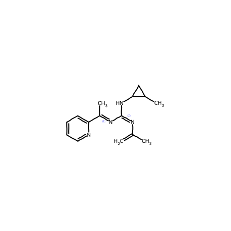 C=C(C)/N=C(\N=C(/C)c1ccccn1)NC1CC1C